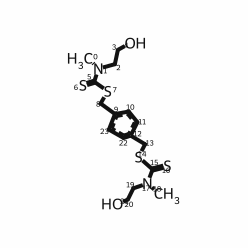 CN(CCO)C(=S)SCc1ccc(CSC(=S)N(C)CCO)cc1